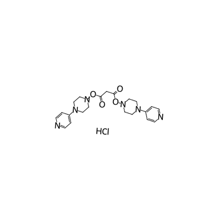 Cl.O=C(CC(=O)ON1CCN(c2ccncc2)CC1)ON1CCN(c2ccncc2)CC1